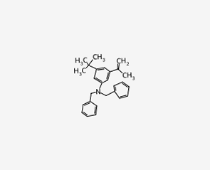 C=C(C)c1cc(N(Cc2ccccc2)Cc2ccccc2)cc(C(C)(C)C)c1